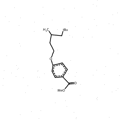 COC(=O)c1ccc(OCCC(C)CC(C)(C)C)cc1